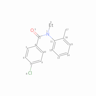 CCN(C(=O)c1ccc(Cl)cc1)c1ccccc1C